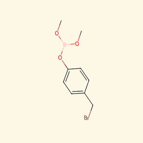 COB(OC)Oc1ccc(CBr)cc1